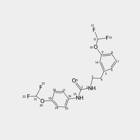 O=C(NCCc1cccc(OC(F)F)c1)Nc1ccc(OC(F)F)cc1